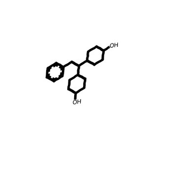 OC1CCC(C(Cc2ccccc2)C2CCC(O)CC2)CC1